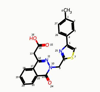 Cc1ccc(-c2csc(Cn3nc(CC(=O)O)c4ccccc4c3=O)n2)cc1